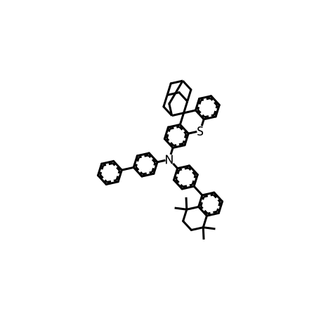 CC1(C)CCC(C)(C)c2c(-c3ccc(N(c4ccc(-c5ccccc5)cc4)c4ccc5c(c4)Sc4ccccc4C54C5CC6CC(C5)CC4C6)cc3)cccc21